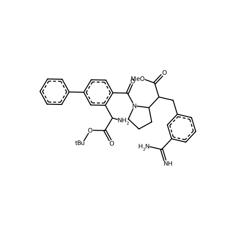 COC(=O)C(Cc1cccc(C(=N)N)c1)C1CCCN1C(=O)c1ccc(-c2ccccc2)cc1C(N)C(=O)OC(C)(C)C